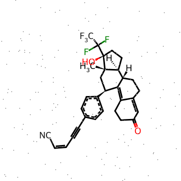 C[C@]12C[C@H](c3ccc(C#C/C=C\C#N)cc3)C3=C4CCC(=O)C=C4CC[C@H]3[C@@H]1CC[C@@]2(O)C(F)(F)C(F)(F)F